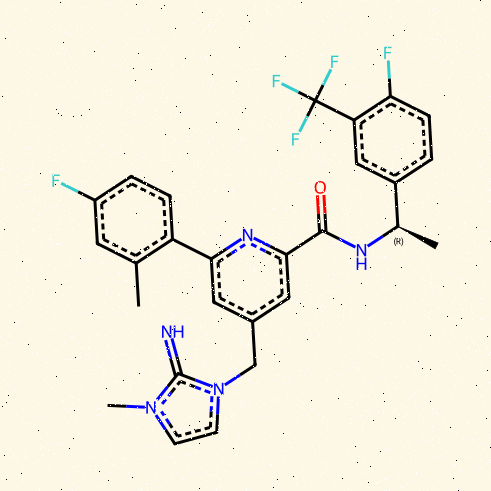 Cc1cc(F)ccc1-c1cc(Cn2ccn(C)c2=N)cc(C(=O)N[C@H](C)c2ccc(F)c(C(F)(F)F)c2)n1